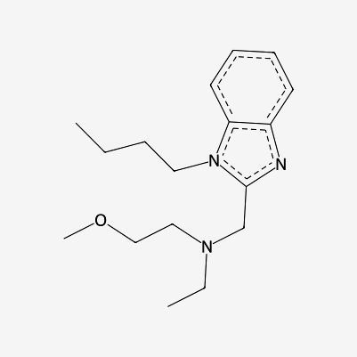 CCCCn1c(CN(CC)CCOC)nc2ccccc21